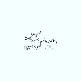 CC(C)=CC1C=CC(C)C2C(=O)OC(=O)C12